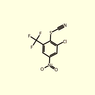 N#CSc1c(Cl)cc([N+](=O)[O-])cc1C(F)(F)F